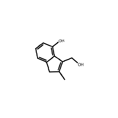 CC1=C(CO)c2c(O)cccc2C1